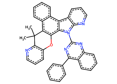 CC1(C)c2ncccc2Oc2c1c1ccccc1c1c3cccnc3n(-c3nc(-c4ccccc4)c4ccccc4n3)c21